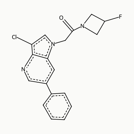 O=C(Cn1cc(Cl)c2ncc(-c3ccccc3)cc21)N1CC(F)C1